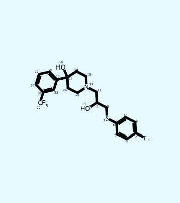 OC(CSc1ccc(F)cc1)CN1CCC(O)(c2cccc(C(F)(F)F)c2)CC1